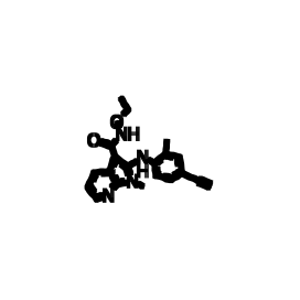 C#Cc1ccc(Nc2c(C(=O)NOCC)c3cccnc3n2C)c(C)c1